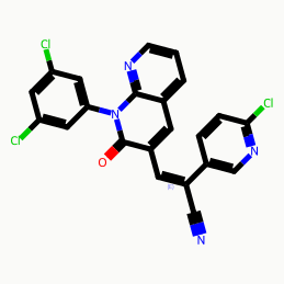 N#C/C(=C/c1cc2cccnc2n(-c2cc(Cl)cc(Cl)c2)c1=O)c1ccc(Cl)nc1